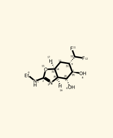 CCNC1=N[C@@H]2[C@@H](O)[C@H](O)[C@@H](C(F)F)C[C@@H]2O1